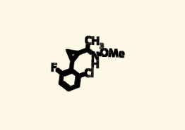 CONC(C)C1CC1c1c(F)cccc1Cl